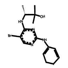 C[C@@H](Nc1nc(NC2=CC[CH]C=C2)ncc1Br)C(C)(C)O